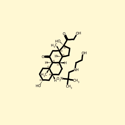 CC(C)(CNCCO)[N+](=O)[O-].C[C@]12CC[C@@H](O)C[C@H]1CC[C@@H]1[C@@H]2C(=O)C[C@@]2(C)[C@H]1CC[C@]2(O)C(=O)CO